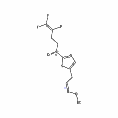 CCO/N=C\Cc1cnc([S@@+]([O-])CCC(F)=C(F)F)s1